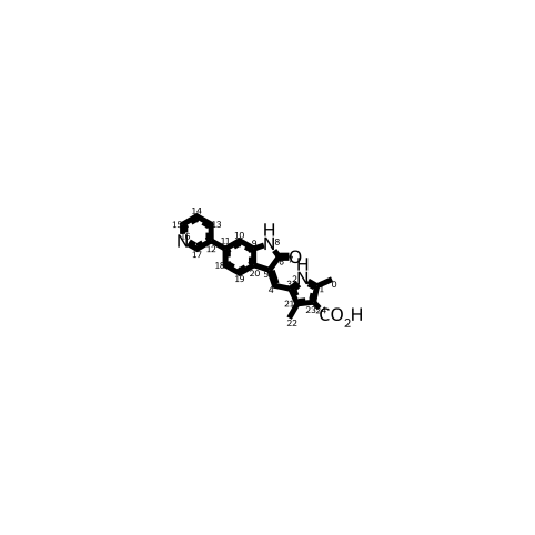 Cc1[nH]c(C=C2C(=O)Nc3cc(-c4cccnc4)ccc32)c(C)c1C(=O)O